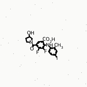 Cc1cc(I)ccc1Nc1c(C(=O)O)cc(C(=O)N2CCC(O)C2)c(F)c1F